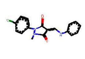 CN1C(=O)C(=CNc2ccccc2)C(=O)N1c1ccc(Cl)cc1